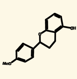 COc1ccc(C2CCc3c(O)cccc3O2)cc1